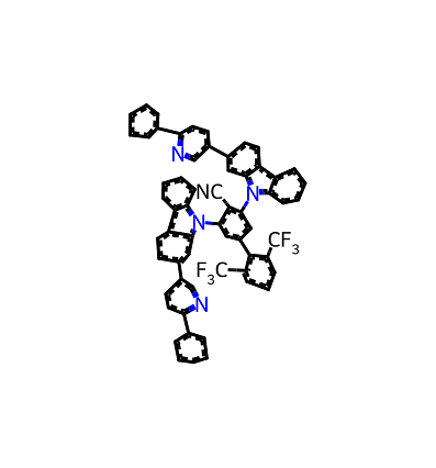 N#Cc1c(-n2c3ccccc3c3ccc(-c4ccc(-c5ccccc5)nc4)cc32)cc(-c2c(C(F)(F)F)cccc2C(F)(F)F)cc1-n1c2ccccc2c2ccc(-c3ccc(-c4ccccc4)nc3)cc21